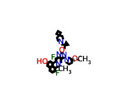 CCO[C@@H]1CCCN(c2nc(OCC3(CN4CCC5(CCC5)CC4)CC3)nc3c(F)c(-c4cc(O)cc5ccc(F)c(CC)c45)ncc23)C1